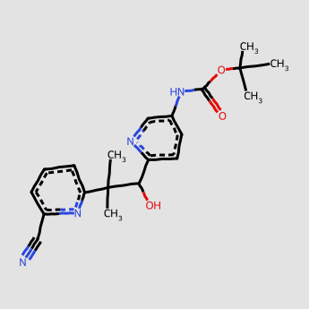 CC(C)(C)OC(=O)Nc1ccc(C(O)C(C)(C)c2cccc(C#N)n2)nc1